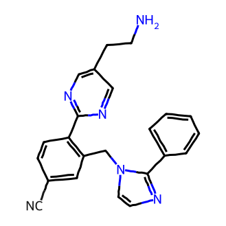 N#Cc1ccc(-c2ncc(CCN)cn2)c(Cn2ccnc2-c2ccccc2)c1